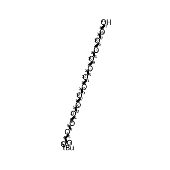 CC(C)(C)OC(=O)CCOCCOCCOCCOCCOCCOCCOCCOCCOCCOCCOCCOCCO